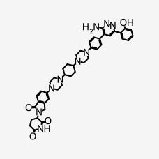 Nc1nnc(-c2ccccc2O)cc1-c1ccc(N2CCN(C3CCC(N4CCN(c5ccc6c(c5)CN(C5CCC(=O)NC5=O)C6=O)CC4)CC3)CC2)cc1